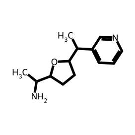 CC(N)C1CCC(C(C)c2cccnc2)O1